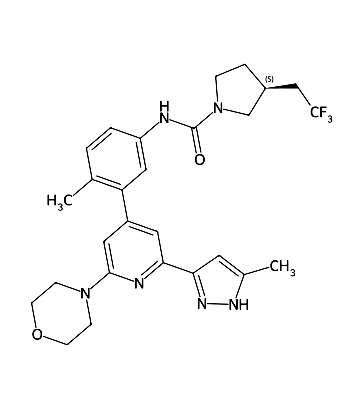 Cc1cc(-c2cc(-c3cc(NC(=O)N4CC[C@@H](CC(F)(F)F)C4)ccc3C)cc(N3CCOCC3)n2)n[nH]1